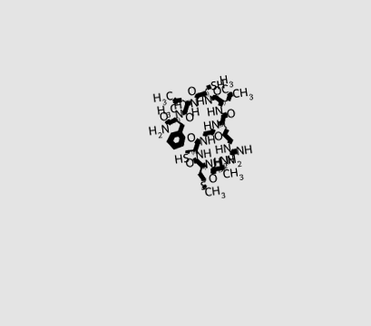 CSCC[C@H](NC(=O)[C@H](C)N)C(=O)N[C@@H](CS)C(=O)NCC(=O)N[C@@H](CCCNC(=N)N)C(=O)N[C@@H](CC(C)C)C(=O)N[C@@H](CS)C(=O)N[C@@H](CC(C)C)C(=O)N[C@@H](Cc1ccccc1)C(N)=O